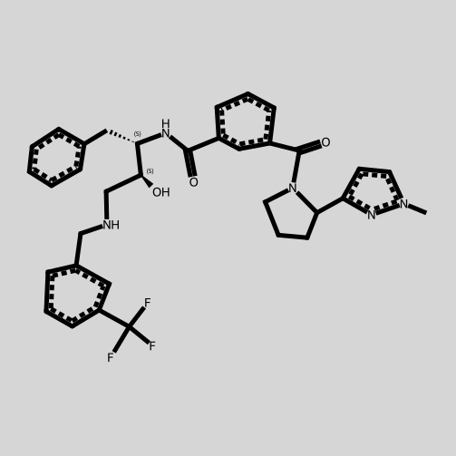 Cn1ccc(C2CCCN2C(=O)c2cccc(C(=O)N[C@@H](Cc3ccccc3)[C@@H](O)CNCc3cccc(C(F)(F)F)c3)c2)n1